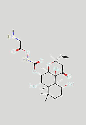 C=C[C@@]1(C)CC(=O)[C@]2(O)[C@@]3(C)[C@@H](O)CCC(C)(C)[C@@H]3[C@H](O)[C@H](OC(=O)NOC(=O)CNC)[C@@]2(C)O1